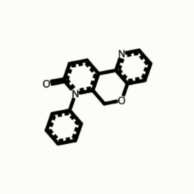 O=c1ccc2c(n1-c1ccccc1)COc1cccnc1-2